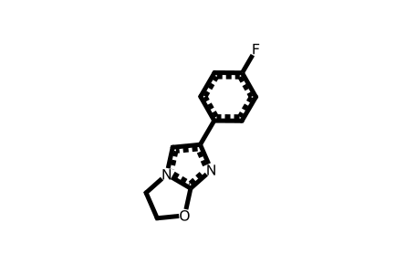 Fc1ccc(-c2cn3c(n2)OCC3)cc1